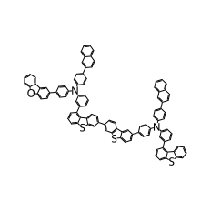 c1cc(-c2cccc3sc4ccccc4c23)cc(N(c2ccc(-c3ccc4ccccc4c3)cc2)c2ccc(-c3ccc4sc5cc(-c6ccc7c(c6)sc6cccc(-c8cccc(N(c9ccc(-c%10ccc%11ccccc%11c%10)cc9)c9ccc(-c%10ccc%11oc%12ccccc%12c%11c%10)cc9)c8)c67)ccc5c4c3)cc2)c1